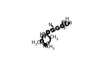 Cc1cc2cc(n1)-c1cnn(C)c1OCCC[C@@H](C)CN1/C(=N/C2=O)Nc2ccc(N3CCN(C4CCN(c5cc(F)c([C@H]6CCC(=O)NC6=O)c(F)c5)CC4)[C@@H](CC#N)C3)cc21